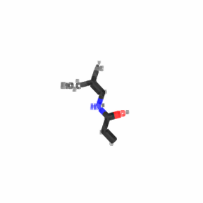 C=CC(=O)NC=C(C(C)=O)C(=O)OCC